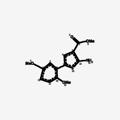 COC(=O)c1cc(-c2cc(OC)ccc2OC)sc1N